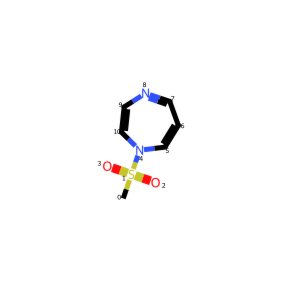 CS(=O)(=O)N1C=CC=NC=C1